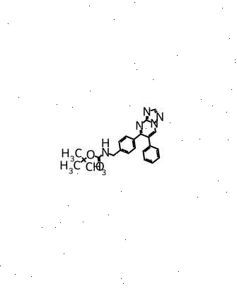 CC(C)(C)OC(=O)NCc1ccc(-c2nc3ncnn3cc2-c2ccccc2)cc1